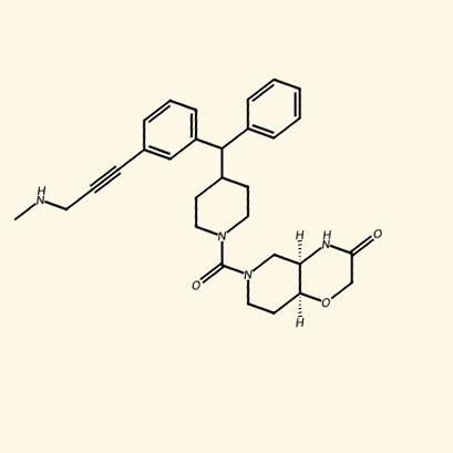 CNCC#Cc1cccc(C(c2ccccc2)C2CCN(C(=O)N3CC[C@@H]4OCC(=O)N[C@@H]4C3)CC2)c1